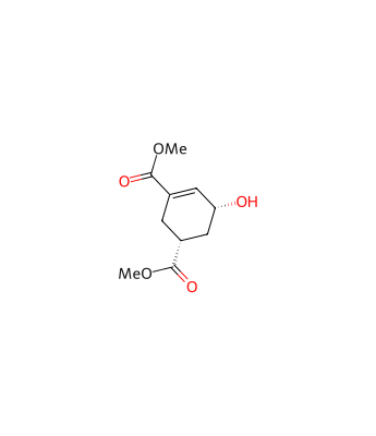 COC(=O)C1=C[C@H](O)C[C@H](C(=O)OC)C1